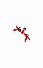 CCCCCCCCC(CCCCCC)C(=O)OCCCCCC1CCC(CCCCOC(=O)C(CCCCCC)CCCCCCCC)CN1CCCCOC